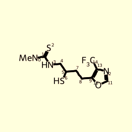 CNC(=S)NCC(S)CCc1ocnc1C(F)(F)F